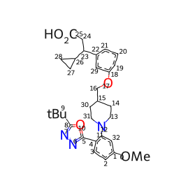 COc1ccc(-c2nnc(C(C)(C)C)o2)c(N2CCC(COc3cccc(C(CC(=O)O)C4CC4)c3)CC2)c1